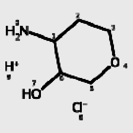 NC1CCOCC1O.[Cl-].[H+]